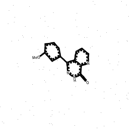 COc1cccc(-c2n[nH]c(=O)c3ncccc23)c1